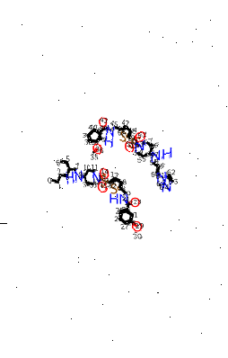 CCCCC(CC)CNC1CCN(S(=O)(=O)c2ccc(CNC(=O)c3cccc(OC)c3)s2)CC1.COc1cccc(C(=O)NCc2ccc(S(=O)(=O)N3CCC(NCCCn4ccnc4)CC3)s2)c1